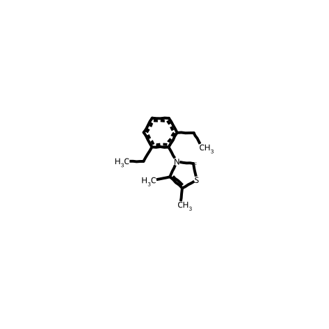 CCc1cccc(CC)c1N1[C]SC(C)=C1C